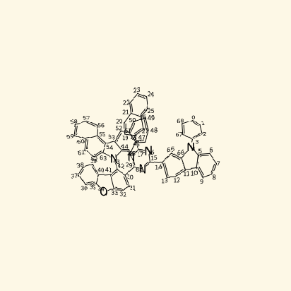 c1ccc(-n2c3ccccc3c3ccc(-c4nc(-c5ccc6ccccc6c5)nc(-c5ccc6oc7ccccc7c6c5-n5c6cc7ccccc7cc6c6c7ccccc7ccc65)n4)cc32)cc1